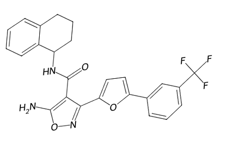 Nc1onc(-c2ccc(-c3cccc(C(F)(F)F)c3)o2)c1C(=O)NC1CCCc2ccccc21